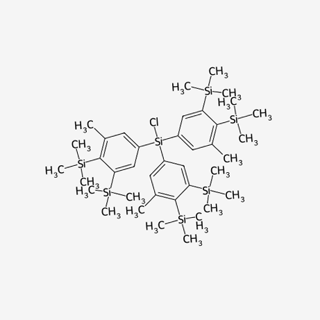 Cc1cc([Si](Cl)(c2cc(C)c([Si](C)(C)C)c([Si](C)(C)C)c2)c2cc(C)c([Si](C)(C)C)c([Si](C)(C)C)c2)cc([Si](C)(C)C)c1[Si](C)(C)C